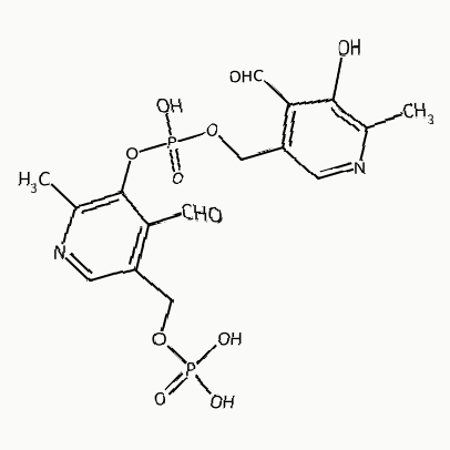 Cc1ncc(COP(=O)(O)Oc2c(C)ncc(COP(=O)(O)O)c2C=O)c(C=O)c1O